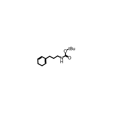 CC(C)(C)OC(=O)NCCCC1=CCCC=C1